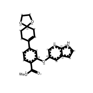 COC(=O)c1ccc(C2=CCC3(CC2)OCCO3)cc1Oc1cnc2[nH]ccc2c1